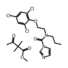 CCCN(CCOc1c(Cl)cc(Cl)cc1Cl)C(=O)n1ccnc1.COC(=O)C(C)(C)C(C)=O